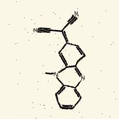 CN1c2ccccc2N=c2ccc(=C(C#N)C#N)cc21